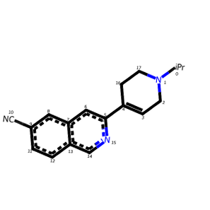 CC(C)N1CC=C(c2cc3cc(C#N)ccc3cn2)CC1